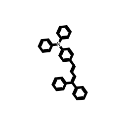 C(=Cc1ccc(N(c2ccccc2)c2ccccc2)cc1)C=C(c1ccccc1)c1ccccc1